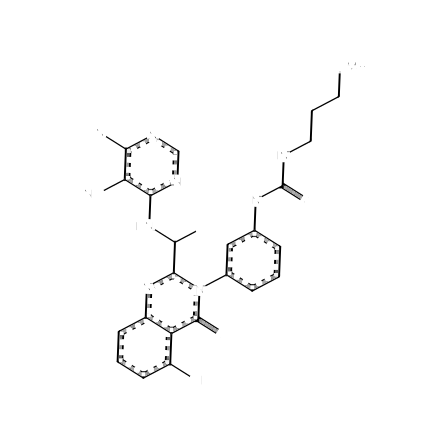 COCCCNC(=O)Nc1cccc(-n2c(C(C)Nc3ncnc(N)c3C#N)nc3cccc(Cl)c3c2=O)c1